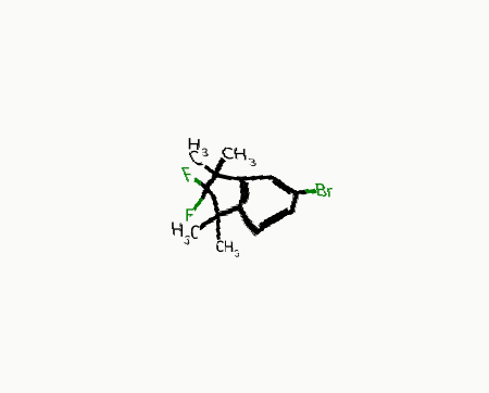 CC1(C)c2ccc(Br)cc2C(C)(C)C1(F)F